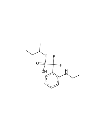 CCNc1ccccc1C(F)(F)P(=O)(O)OC(C)CC